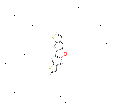 Cc1cc2cc3oc4cc5cc(C)sc5cc4c3cc2s1